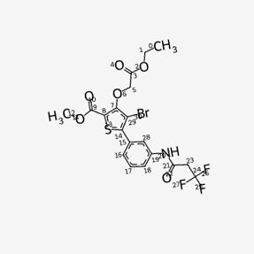 CCOC(=O)COc1c(C(=O)OC)sc(-c2cccc(NC(=O)CC(F)(F)F)c2)c1Br